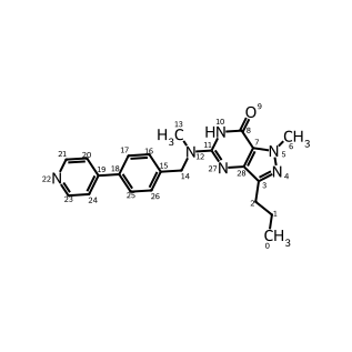 CCCc1nn(C)c2c(=O)[nH]c(N(C)Cc3ccc(-c4ccncc4)cc3)nc12